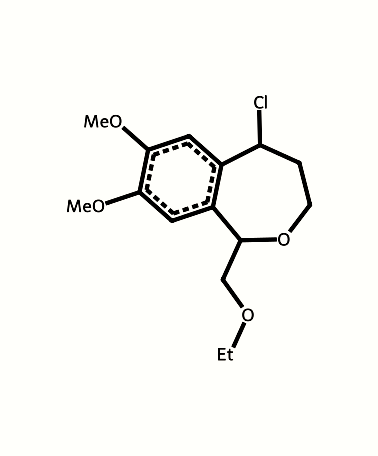 CCOCC1OCCC(Cl)c2cc(OC)c(OC)cc21